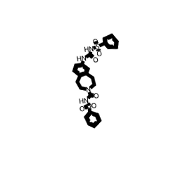 O=C(Nc1ccc2c(c1)CCN(C(=O)NS(=O)(=O)c1ccccc1)CC2)NS(=O)(=O)c1ccccc1